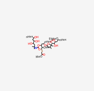 CCCCCCC(O)CC(O)C(O)CC1(C)CN1C(=O)OC(CC(CCCCCC)OC(=O)CC(C)C(C)(C)CC(O)C(CC(CCCCCC)OC)OC(=O)CC)C(CSCC(=O)OC)OC